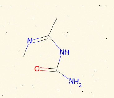 C/N=C(/C)NC(N)=O